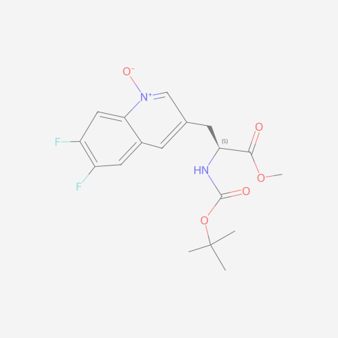 COC(=O)[C@H](Cc1cc2cc(F)c(F)cc2[n+]([O-])c1)NC(=O)OC(C)(C)C